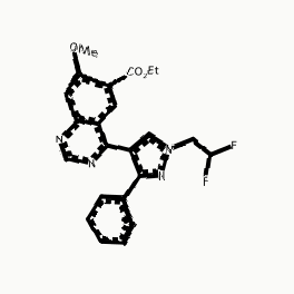 CCOC(=O)c1cc2c(-c3cn(CC(F)F)nc3-c3ccccc3)ncnc2cc1OC